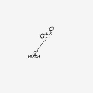 OP(O)OCCCCCCCCCC(Sc1ccccc1)Sc1ccccc1